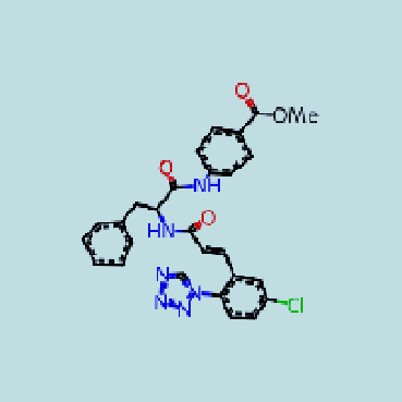 COC(=O)c1ccc(NC(=O)C(Cc2ccccc2)NC(=O)C=Cc2cc(Cl)ccc2-n2cnnn2)cc1